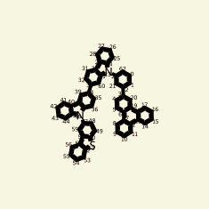 c1cc(-c2ccc3c4ccccc4c4ccccc4c3c2)cc(-n2c3ccccc3c3ccc(-c4ccc5c(c4)c4ccccc4n5-c4ccc5sc6ccccc6c5c4)cc32)c1